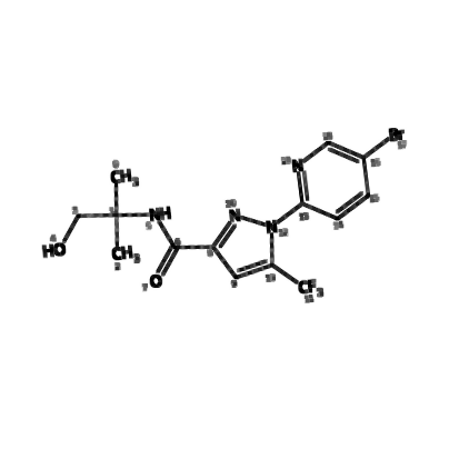 CC(C)(CO)NC(=O)c1cc(C(F)(F)F)n(-c2ccc(Br)cn2)n1